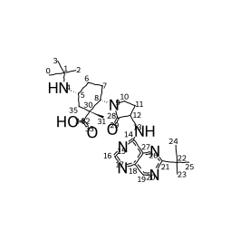 CC(C)(C)N[C@@H]1CC[C@H](N2CCC(Nc3ncnc4cnc(C(C)(C)C)nc34)C2=O)[C@](C)(C(=O)O)C1